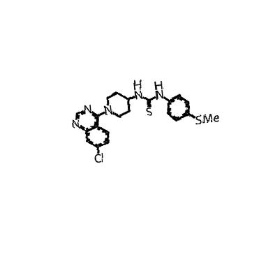 CSc1ccc(NC(=S)NC2CCN(c3ncnc4cc(Cl)ccc34)CC2)cc1